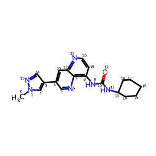 Cn1cc(-c2cnc3c(NC(=O)NC4CCCCC4)ccnc3c2)cn1